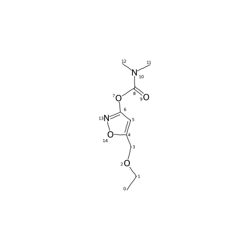 CCOCc1cc(OC(=O)N(C)C)no1